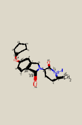 C=C1CCC(N2Cc3cc(OC4CCCC4)ccc3C2=O)C(=O)N1